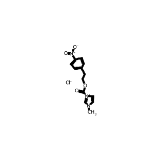 Cn1cc[n+](C(=O)OCCc2ccc([N+](=O)[O-])cc2)c1.[Cl-]